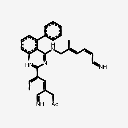 C/C=C(\C=C(/C=N)CC(C)=O)C(=N)/N=C(/NC/C(C)=C/C=C\C=N)c1c(C)cccc1-c1ccccc1